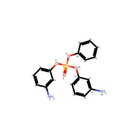 Nc1cccc(OP(=O)(Oc2ccccc2)Oc2cccc(N)c2)c1